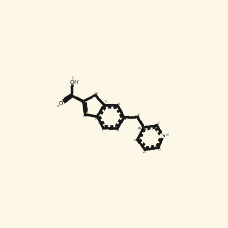 O=C(O)C1=Cc2ccc(Cc3cccnc3)cc2C1